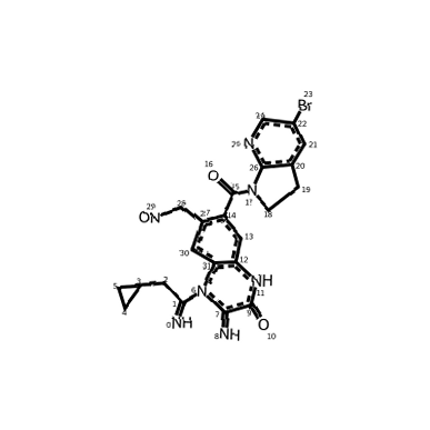 N=C(CC1CC1)n1c(=N)c(=O)[nH]c2cc(C(=O)N3CCc4cc(Br)cnc43)c(CN=O)cc21